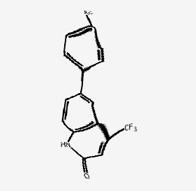 CC(=O)c1ccc(-c2ccc3[nH]c(=O)cc(C(F)(F)F)c3c2)cc1